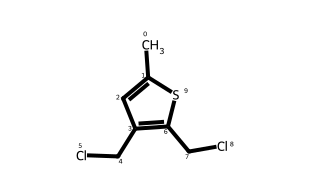 Cc1cc(CCl)c(CCl)s1